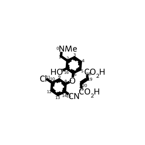 CNCc1cccc(Oc2cc(Cl)ccc2C#N)c1O.O=C(O)/C=C/C(=O)O